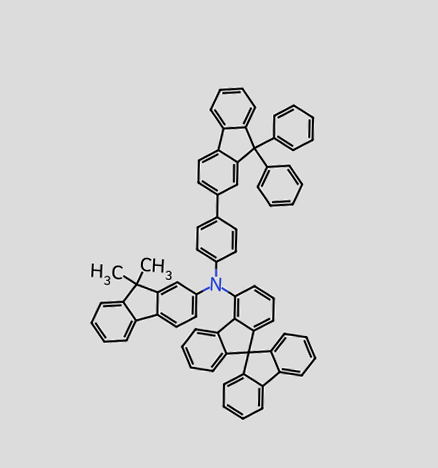 CC1(C)c2ccccc2-c2ccc(N(c3ccc(-c4ccc5c(c4)C(c4ccccc4)(c4ccccc4)c4ccccc4-5)cc3)c3cccc4c3-c3ccccc3C43c4ccccc4-c4ccccc43)cc21